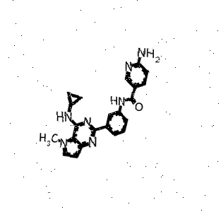 Cn1ccc2nc(-c3cccc(NC(=O)c4ccc(N)nc4)c3)nc(NC3CC3)c21